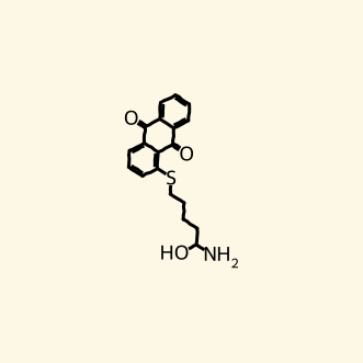 NC(O)CCCCSc1cccc2c1C(=O)c1ccccc1C2=O